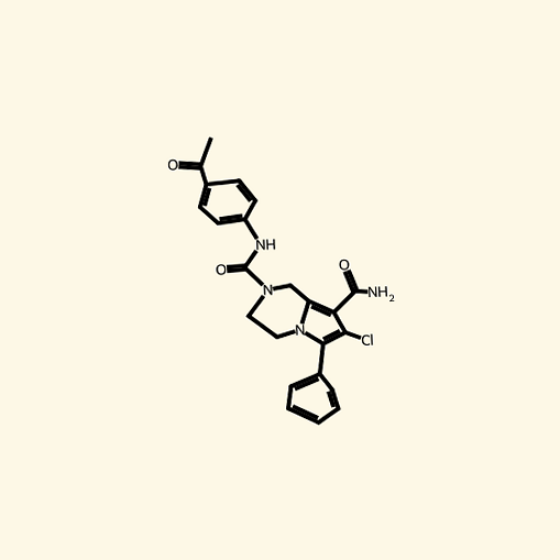 CC(=O)c1ccc(NC(=O)N2CCn3c(c(C(N)=O)c(Cl)c3-c3ccccc3)C2)cc1